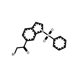 O=C(CBr)c1ccc2ccn(S(=O)(=O)c3ccccc3)c2c1